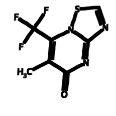 Cc1c(C(F)(F)F)n2scnc2nc1=O